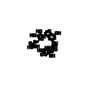 O=P(O)(O)OC[C@H]1O[C@@H](n2cnc3c(O)nc(O)nc32)[C@H](O)[C@@H]1O.O=P(O)(O)OP(=O)(O)OP(=O)(O)O